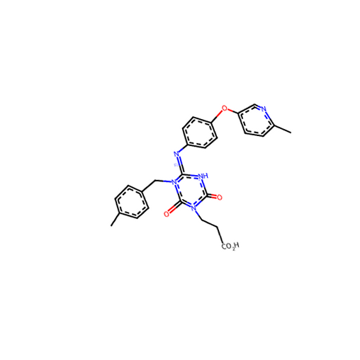 Cc1ccc(Cn2c(=O)n(CCC(=O)O)c(=O)[nH]/c2=N\c2ccc(Oc3ccc(C)nc3)cc2)cc1